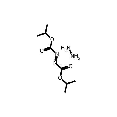 CC(C)OC(=O)N=NC(=O)OC(C)C.NN